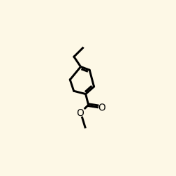 CCC1=CC=C(C(=O)OC)CC1